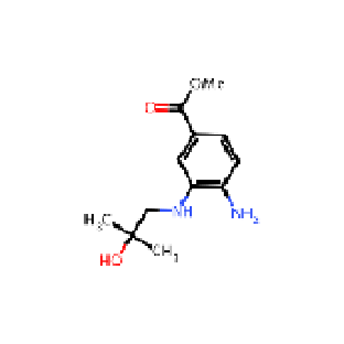 COC(=O)c1ccc(N)c(NCC(C)(C)O)c1